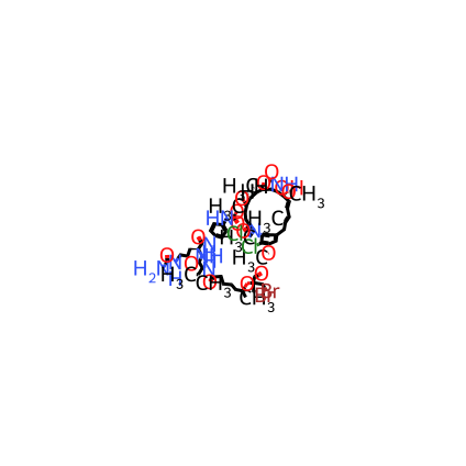 COc1cc2cc(c1Cl)N(C)C(=O)C[C@H](OC(=O)Nc1ccc(NC(=O)[C@H](CCCNC(N)=O)NC(=O)[C@@H](NC(=O)CCCCC(C)OC(C=O)(CBr)CBr)C(C)C)cc1Cl)[C@]1(C)O[C@H]1[C@H](C)[C@@H]1C[C@@](O)(NC(=O)O1)[C@H](OC)/C=C/C=C(\C)C2